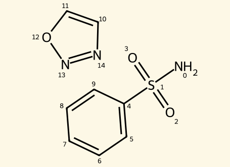 NS(=O)(=O)c1ccccc1.c1conn1